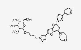 OC[C@H]1O[C@@H](OCCCCn2cc(-c3cc4nc(-n5ccc(-c6ccccc6)n5)cc(N5CCOCC5)c4o3)cn2)[C@H](O)[C@@H](O)[C@@H]1O